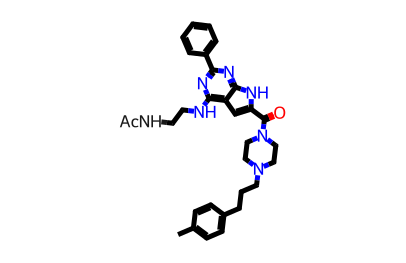 CC(=O)NCCNc1nc(-c2ccccc2)nc2[nH]c(C(=O)N3CCN(CCCc4ccc(C)cc4)CC3)cc12